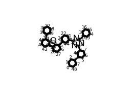 c1ccc(-c2cccc(-c3nc(-c4ccccc4)nc(-c4cccc(-c5cccc6c5oc5c(-c7ccccc7)cccc56)c4)n3)c2)cc1